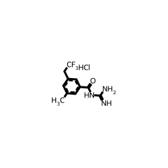 Cc1cc(CC(F)(F)F)cc(C(=O)NC(=N)N)c1.Cl